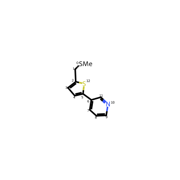 CSCc1ccc(-c2cccnc2)s1